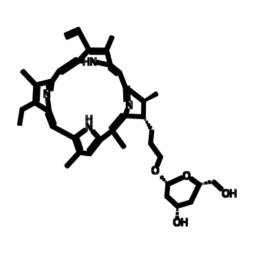 C=Cc1c(C)c2cc3nc(c(C)c4cc(C)c(cc5nc(cc1[nH]2)C(C)=C5CC)[nH]4)[C@@H](CCCO[C@H]1C[C@@H](O)C[C@@H](CO)O1)[C@@H]3C